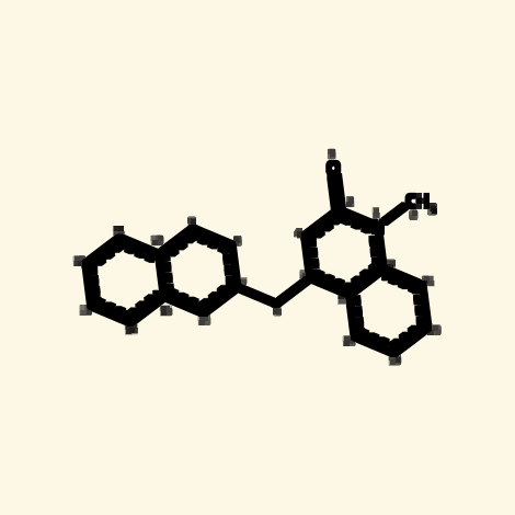 Cn1c(=O)cc(Cc2ccc3ccccc3c2)c2ccccc21